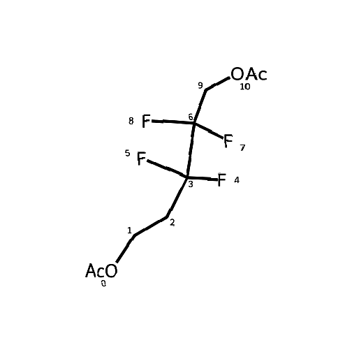 CC(=O)OCCC(F)(F)C(F)(F)COC(C)=O